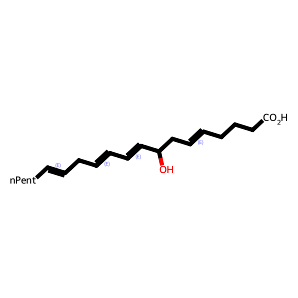 CCCCC/C=C/C/C=C/C=C/C(O)C/C=C/CCCC(=O)O